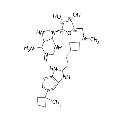 CN(C[C@H]1O[C@@H](N2CNC3C(N)NCNC32)[C@H](O)[C@@H]1O)[C@H]1C[C@@H](CCC2Nc3ccc(C4(C)CCC4)cc3N2)C1